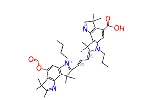 CCCC[N+]1=C(/C=C/C=C2/N(CCC)c3cc(C(=O)O)c4c(c3C2(C)C)N=CC4(C)C)C(C)(C)c2c1cc(OC=O)c1c2N=C(C)C1(C)C